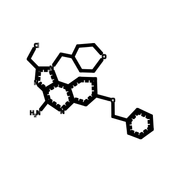 Nc1nc2cc(OCc3ccccc3)ccc2c2c1nc(CCl)n2CC1CCOCC1